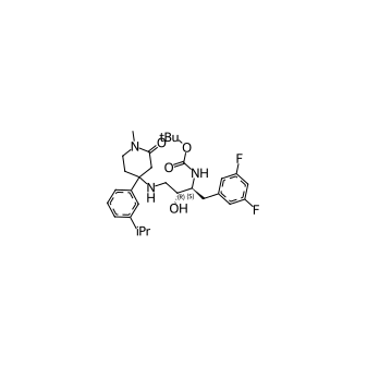 CC(C)c1cccc(C2(NC[C@@H](O)[C@H](Cc3cc(F)cc(F)c3)NC(=O)OC(C)(C)C)CCN(C)C(=O)C2)c1